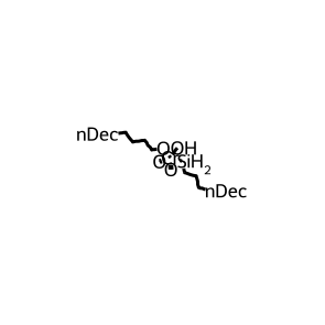 CCCCCCCCCCCCCC[O][Cr](=[O])(=[O])([OH])[SiH2]CCCCCCCCCCCCC